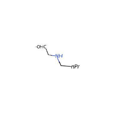 CCCCNC[C]=O